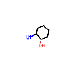 NC1CCCC[C@@H]1O